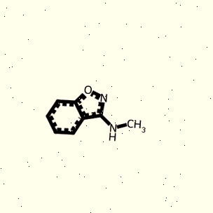 CNc1noc2ccccc12